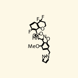 COc1cc(Cn2cccn2)cc2onc(NS(=O)(=O)c3c(F)ccc4c3OCCC4(F)F)c12